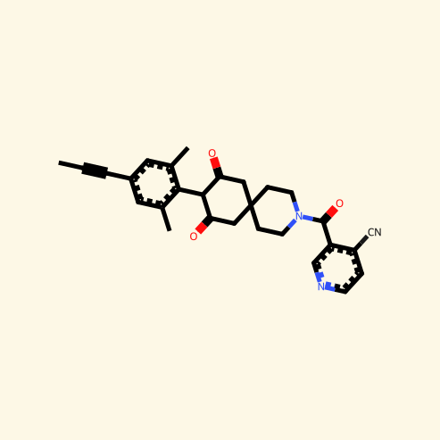 CC#Cc1cc(C)c(C2C(=O)CC3(CCN(C(=O)c4cnccc4C#N)CC3)CC2=O)c(C)c1